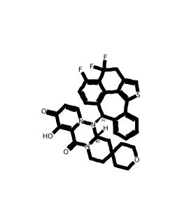 O=C1c2c(O)c(=O)ccn2N([C@@H]2c3ccccc3-c3scc4c3-c3c2ccc(F)c3C(F)(F)C4)[C@@H]2CC3(CCOCC3)CCN12